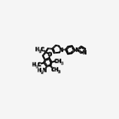 Cc1c(C)c2c(c(C)c1N)CC(C)(CC1=CCN(c3ccc(-n4ccnc4)cc3)CC1)O2